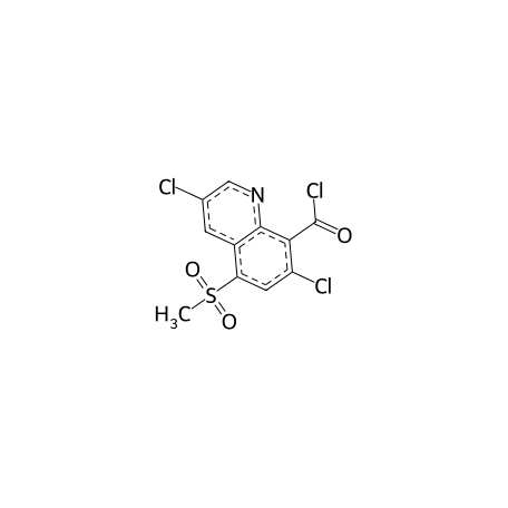 CS(=O)(=O)c1cc(Cl)c(C(=O)Cl)c2ncc(Cl)cc12